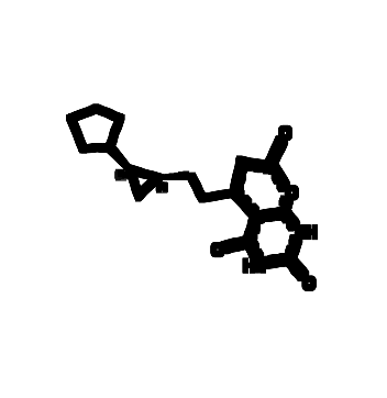 O=c1[nH]c(=O)c2c(CC[C@@H]3C[C@H]3C3CCCC3)cc(=O)oc2[nH]1